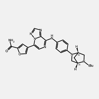 CC(C)(C)N1C[C@@H]2C[C@H]1CN2c1ccc(Nc2ncc(-c3coc(C(N)=O)c3)n3ncnc23)cc1